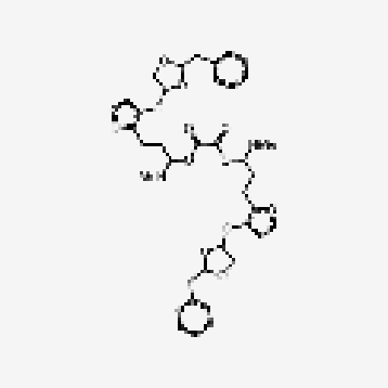 CNC(CCc1occc1OC1COC(Cc2ccccc2)O1)OC(=O)C(=O)OC(CCc1occc1OC1COC(Cc2ccccc2)O1)NC